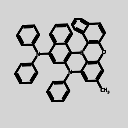 Cc1cc2c3c(c1)N(c1ccccc1)c1cc(N(c4ccccc4)c4ccccc4)c4ccccc4c1B3c1c(ccc3ccccc13)O2